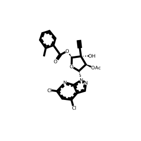 C#C[C@]1(O)[C@@H](OC(=O)c2ccccc2C)O[C@@H](n2ncc3c(Cl)cc(Cl)nc32)[C@@H]1OC(C)=O